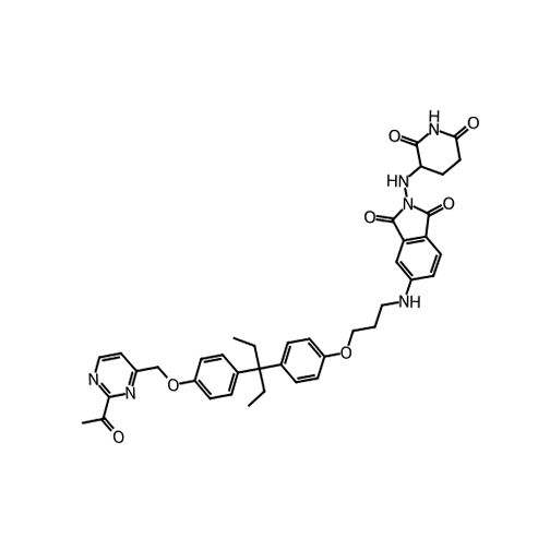 CCC(CC)(c1ccc(OCCCNc2ccc3c(c2)C(=O)N(NC2CCC(=O)NC2=O)C3=O)cc1)c1ccc(OCc2ccnc(C(C)=O)n2)cc1